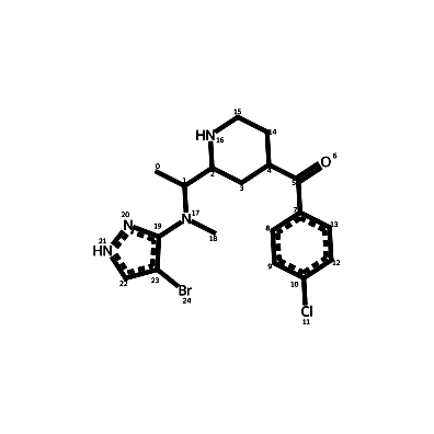 CC(C1CC(C(=O)c2ccc(Cl)cc2)CCN1)N(C)c1n[nH]cc1Br